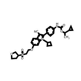 CC(OC(=O)Nc1ccc(-c2c(C#N)c3ccc(OCCS(=O)(=O)C4CCOC4)cc3n2C2CCC2)cc1)C1CC1